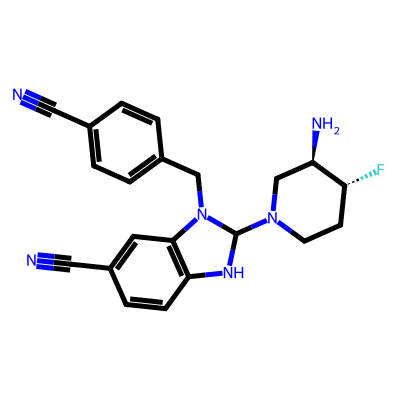 N#Cc1ccc(CN2c3cc(C#N)ccc3NC2N2CC[C@@H](F)[C@H](N)C2)cc1